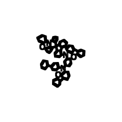 c1ccc(-c2ccc(N(c3cccc(N(c4cccc5c4-c4ccccc4C54c5ccccc5N5c6ccccc6Oc6cccc4c65)c4cccc5c4oc4ccccc45)c3)c3cccc4c3oc3ccccc34)cc2)cc1